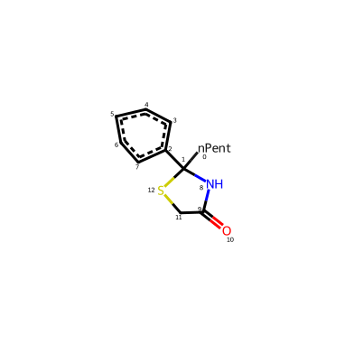 CCCCCC1(c2ccccc2)NC(=O)CS1